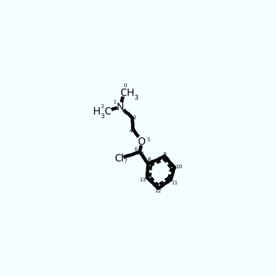 CN(C)CCO[C](Cl)c1ccccc1